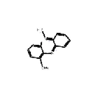 C/N=C1\C=CC=C\C1=N\c1c(I)cccc1OC